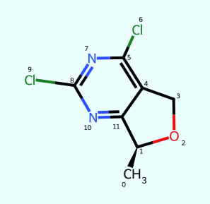 C[C@@H]1OCc2c(Cl)nc(Cl)nc21